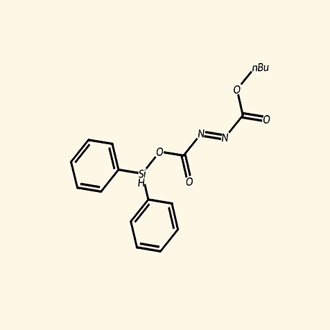 CCCCOC(=O)N=NC(=O)O[SiH](c1ccccc1)c1ccccc1